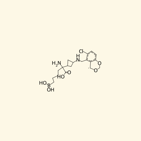 NC(CCCCB(O)O)(C(=O)O)C1CC(NCc2c(Cl)ccc3c2[CH]OCO3)C1